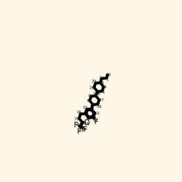 CCCC1CCC(C2CCC(c3cc(F)c4c(c3)CCC(C(F)(F)F)O4)CC2)CC1